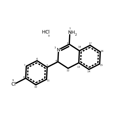 Cl.NC1=NC(c2ccc(Cl)cc2)Cc2ccccc21